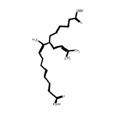 COC(=O)CCCCCC/C=C(/C)C(CC=C(C)C)CCCCCC(=O)OC